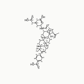 C=C(C)[C@@H]1CC[C@]2(C(=O)NCCN(CC(=O)O)CC(=O)O)CC[C@]3(C)[C@H](CC[C@@H]4[C@@]5(C)CC=C(c6ccc(C(=O)O)cc6)C(C)(C)[C@@H]5CC[C@]43C)[C@@H]12